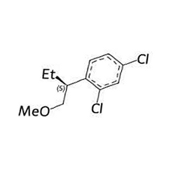 CC[C@H](COC)c1ccc(Cl)cc1Cl